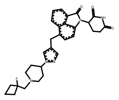 O=C1CCC(N2C(=O)c3cccc4c(Cc5cnn(C6CCN(CC7(F)CCC7)CC6)c5)ccc2c34)C(=O)N1